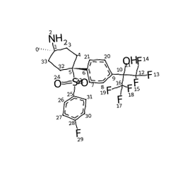 C[C@]1(N)CC[C@](c2ccc(C(O)(C(F)(F)F)C(F)(F)F)cc2)(S(=O)(=O)c2ccc(F)cc2)CC1